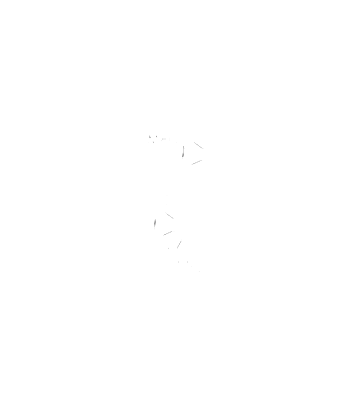 COc1cccc(CCCOc2ccc3oc(C(=O)O)c(C)c3c2)c1